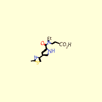 CCN(CCC(=O)O)C(=O)c1cc(-c2csc(C)n2)c[nH]1